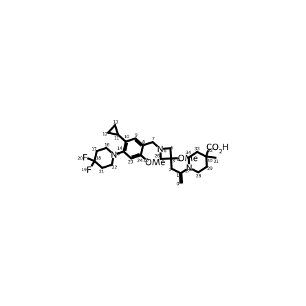 C=C(CC1(OC)CN(Cc2cc(C3CC3)c(N3CCC(F)(F)CC3)cc2OC)C1)N1CCC(C)(C(=O)O)CC1